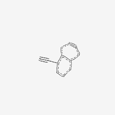 C#Cc1cccc2cc#ccc12